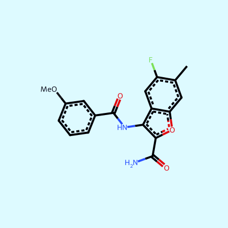 COc1cccc(C(=O)Nc2c(C(N)=O)oc3cc(C)c(F)cc23)c1